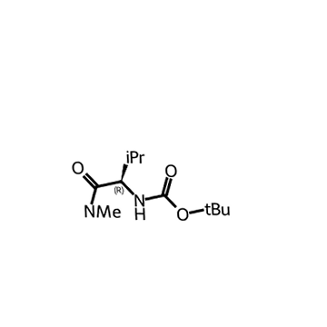 CNC(=O)[C@H](NC(=O)OC(C)(C)C)C(C)C